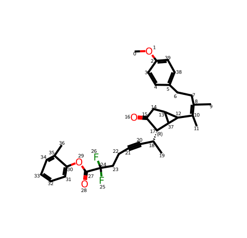 COc1ccc(CCC(C)=C(C)C2C3CC(=O)[C@@H](C(C)C#CCCC(F)(F)C(=O)Oc4ccccc4C)C32)cc1